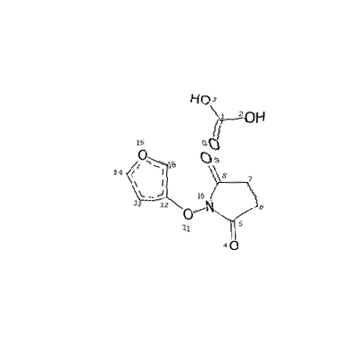 O=C(O)O.O=C1CCC(=O)N1Oc1ccoc1